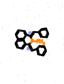 PP(/C(=C\c1ccccc1)c1ccccc1)/C(=C\c1ccccc1)c1ccccc1